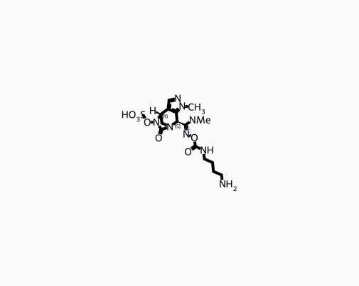 CN/C(=N\OC(=O)NCCCCN)[C@@H]1c2c(cnn2C)[C@@H]2CN1C(=O)N2OS(=O)(=O)O